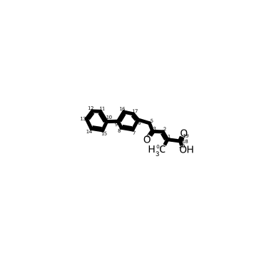 C/C(=C\C(=O)Cc1ccc(-c2ccccc2)cc1)C(=O)O